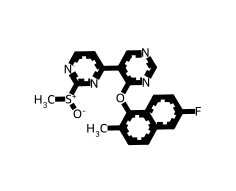 Cc1ccc2cc(F)ccc2c1Oc1ncncc1-c1ccnc([S+](C)[O-])n1